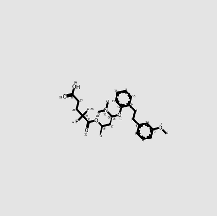 COc1cccc(CCc2ccccc2O[C@@H](CC(C)OC(=O)C(F)(F)CCC(=O)O)N(C)C)c1